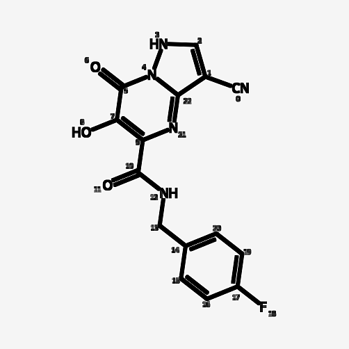 N#Cc1c[nH]n2c(=O)c(O)c(C(=O)NCc3ccc(F)cc3)nc12